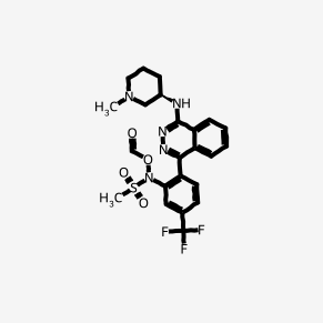 CN1CCC[C@@H](Nc2nnc(-c3ccc(C(F)(F)F)cc3N(OC=O)S(C)(=O)=O)c3ccccc23)C1